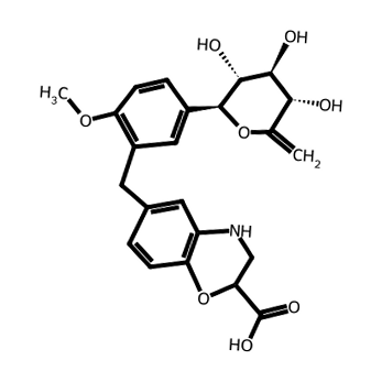 C=C1O[C@@H](c2ccc(OC)c(Cc3ccc4c(c3)NCC(C(=O)O)O4)c2)[C@H](O)[C@@H](O)[C@@H]1O